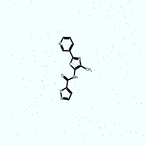 Cc1nc(-c2cccnc2)sc1NC(=O)c1ccns1